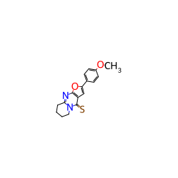 COc1ccc(-c2cc3c(=S)n4c(nc3o2)CCCC4)cc1